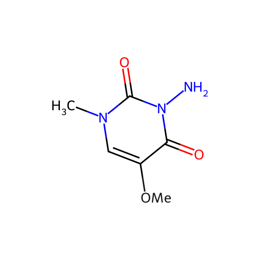 COc1cn(C)c(=O)n(N)c1=O